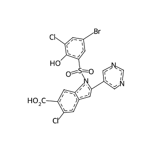 O=C(O)c1cc2c(cc1Cl)cc(-c1cncnc1)n2S(=O)(=O)c1cc(Br)cc(Cl)c1O